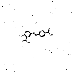 O=C(O)c1ccc(N=Nc2ccc(O)c(C(=O)O)c2)cc1